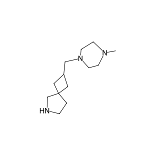 CN1CCN(CC2CC3(CCNC3)C2)CC1